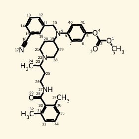 COC(=O)Oc1ccc(N(Cc2cccc(C#N)c2)C2CCN(C(C)CCNC(=O)c3c(C)cccc3C)CC2)cc1